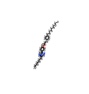 CCCCCCCCCC[C@H]1CC[C@H](CCCOc2ccc(-c3ncc(CCCCCCC)cn3)cc2)CC1